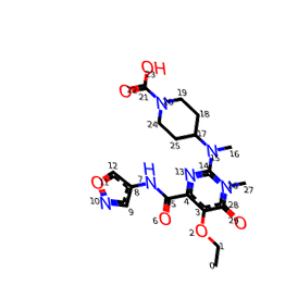 CCOc1c(C(=O)Nc2cnoc2)nc(N(C)C2CCN(C(=O)O)CC2)n(C)c1=O